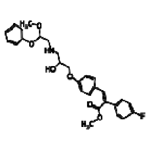 COC(=O)C(=Cc1ccc(OCC(O)CNCC(OC)Oc2ccccc2)cc1)c1ccc(F)cc1